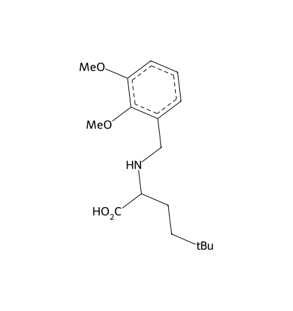 COc1cccc(CNC(CCC(C)(C)C)C(=O)O)c1OC